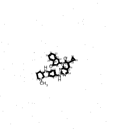 CN1CCCC(Nc2ccc(Nc3ncc4cc(C5CC5)c(=O)n(C5CC(=O)c6ccccc6C5)c4n3)cc2)C1